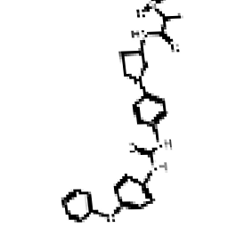 CC(C(=O)NC1CCN(c2ccc(NC(=O)Nc3ccc(Oc4ccccc4)cc3)cc2)C1)S(C)(=O)=O